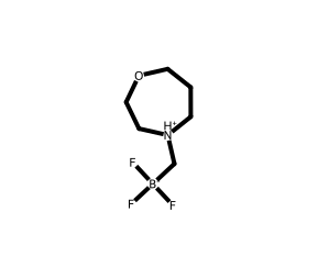 F[B-](F)(F)C[NH+]1CCCOCC1